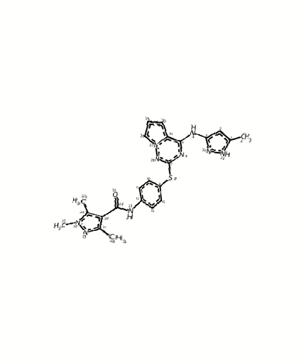 Cc1cc(Nc2nc(Sc3ccc(NC(=O)c4c(C)nn(C)c4C)cc3)nn3cccc23)n[nH]1